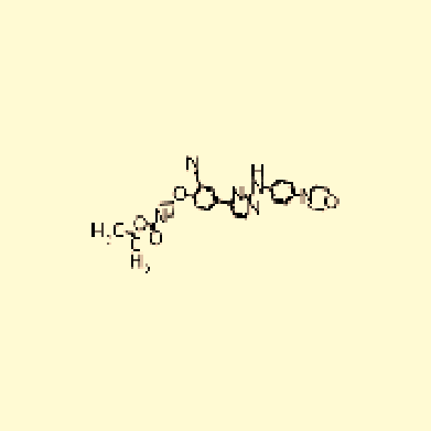 C=C(C)OC(=O)N1CC(Oc2ccc(-c3ccnc(Nc4ccc(N5CCOCC5)cc4)n3)cc2C#N)C1